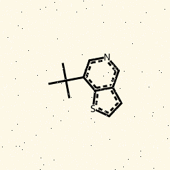 CC(C)(C)c1cncc2ccsc12